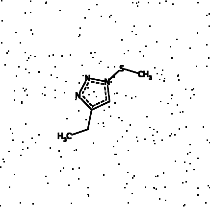 CCc1cn(SC)nn1